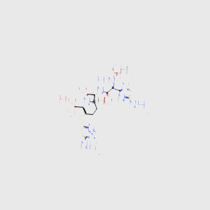 CON=C(C(=O)N[C@@H]1C(=O)N2C(C(=O)O)=C(Sc3nnc(N)s3)CC[C@H]12)c1nsc(N)n1